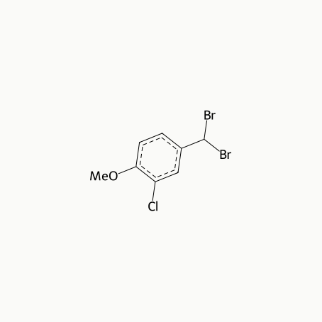 COc1ccc(C(Br)Br)cc1Cl